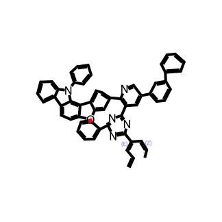 C=C/C=C(\C=C/C)c1nc(-c2ccccc2)nc(-c2cc(-c3cccc(-c4ccccc4)c3)cnc2-c2ccc3c(c2)oc2ccc4c5ccccc5n(-c5ccccc5)c4c23)n1